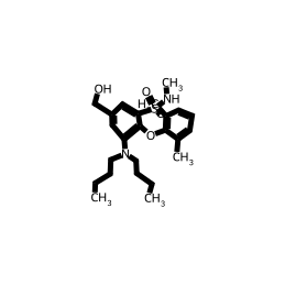 CCCCN(CCCC)c1cc(CO)cc(S(=O)(=O)NC)c1Oc1c(C)cccc1C